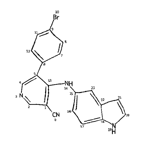 N#Cc1cncc(-c2ccc(Br)cc2)c1Nc1ccc2[nH]ccc2c1